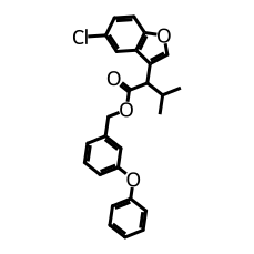 CC(C)C(C(=O)OCc1cccc(Oc2ccccc2)c1)c1coc2ccc(Cl)cc12